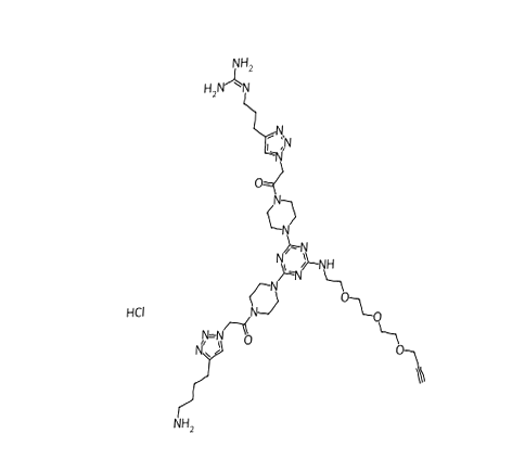 C#CCOCCOCCOCCNc1nc(N2CCN(C(=O)Cn3cc(CCCCN)nn3)CC2)nc(N2CCN(C(=O)Cn3cc(CCCN=C(N)N)nn3)CC2)n1.Cl